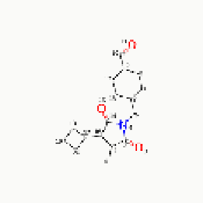 CC1C(=O)N(CC2CCC(C=O)CC2)C(=O)C1C1CCC1